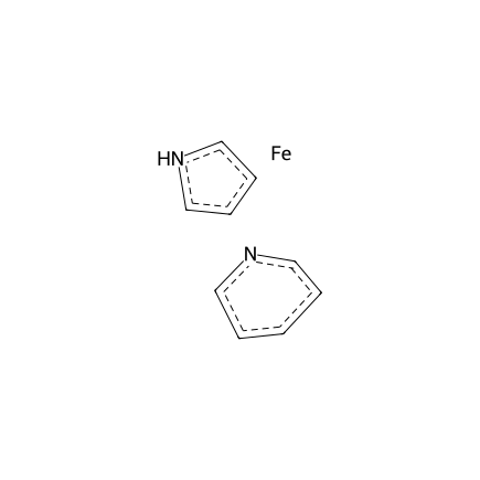 [Fe].c1cc[nH]c1.c1ccncc1